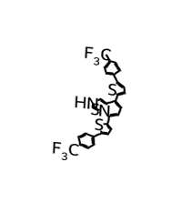 FC(F)(F)c1ccc(-c2ccc(C3=CC=C(c4ccc(-c5ccc(C(F)(F)F)cc5)s4)N4SNC=C34)s2)cc1